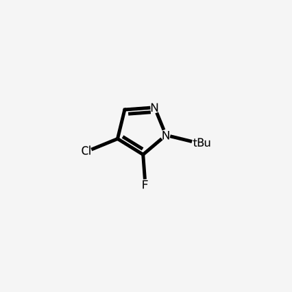 CC(C)(C)n1ncc(Cl)c1F